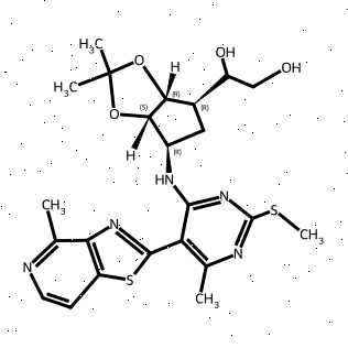 CSc1nc(C)c(-c2nc3c(C)nccc3s2)c(N[C@@H]2C[C@H](C(O)CO)[C@H]3OC(C)(C)O[C@H]32)n1